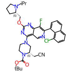 CC(C)N1CCC[C@H]1COc1nc(N2CCN(C(=O)OC(C)(C)C)[C@@H](CC#N)C2)c2cnc(-c3cccc4cccc(Cl)c34)c(F)c2n1